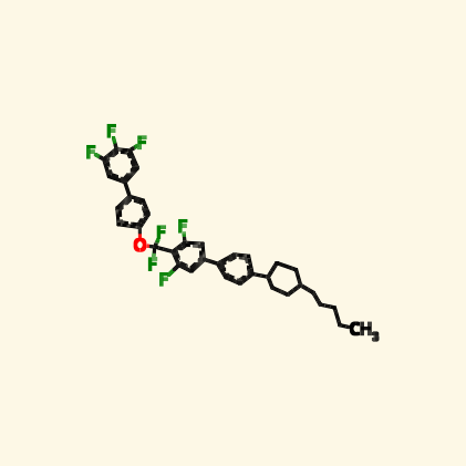 CCCCCC1CCC(c2ccc(-c3cc(F)c(C(F)(F)Oc4ccc(-c5cc(F)c(F)c(F)c5)cc4)c(F)c3)cc2)CC1